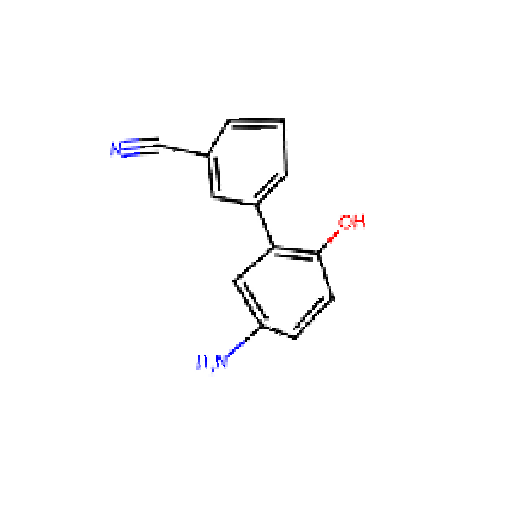 N#Cc1cccc(-c2cc(N)ccc2O)c1